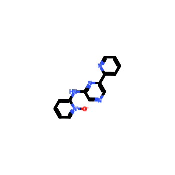 [O-][n+]1ccccc1Nc1cncc(-c2ccccn2)n1